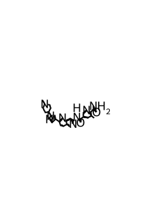 Cc1cc(C(=O)Nc2cc3nc(-c4cnn(C5CCN(C)CC5)c4)ccc3cn2)cnc1C(N)=O